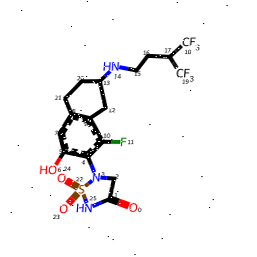 O=C1CN(c2c(O)cc3c(c2F)CC(NCCC(C(F)(F)F)C(F)(F)F)CC3)S(=O)(=O)N1